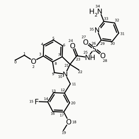 CCOc1cccc2c1CN(Cc1cc(F)cc(OC)c1)C2(C)C(=O)NS(=O)(=O)c1cccc(N)n1